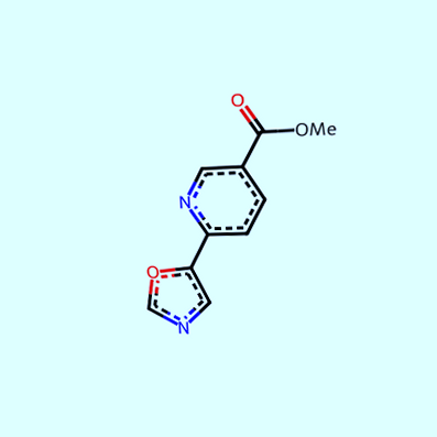 COC(=O)c1ccc(-c2cnco2)nc1